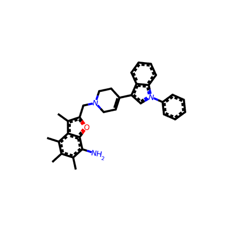 Cc1c(C)c(C)c2c(C)c(CN3CC=C(c4cn(-c5ccccc5)c5ccccc45)CC3)oc2c1N